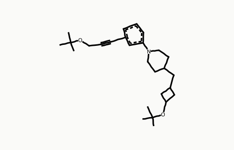 CC(C)(C)OCC#Cc1cccc(N2CCC(CC3CC(OC(C)(C)C)C3)CC2)c1